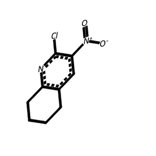 O=[N+]([O-])c1cc2c(nc1Cl)CCCC2